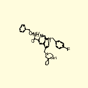 O=C1CN(Cc2cn(Cc3ccc(F)cc3)c3cnc(C(=O)NOCc4ccccc4)cc23)CCN1